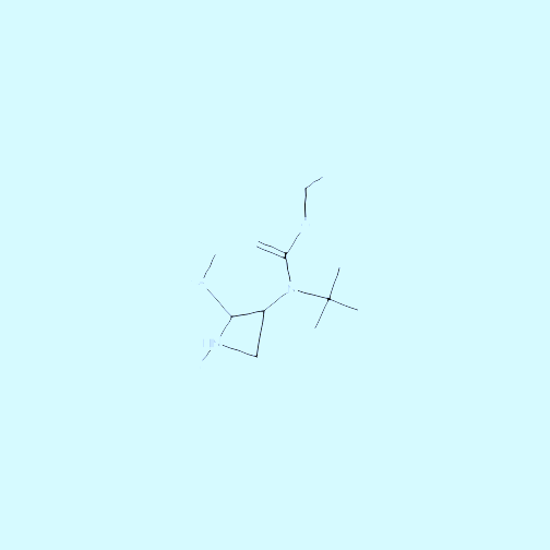 CCOC(=O)N(C1C[NH+]([O-])C1[Se]C)C(C)(C)C